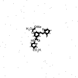 COC[C@H](C)Oc1cc(CCc2c(F)cccc2F)cc(C(=O)Nc2ccc(C(=O)O)cn2)c1